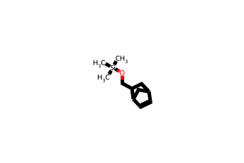 C[Si](C)(C)OCC1CC2C=CC1C2